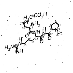 CC(=O)O.CCN1CCC[C@H]1C(=O)NC(=O)[C@H](CCCNC(=N)N)NC(=O)[C@@H](N)CC(C)C